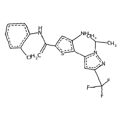 C=C(Nc1ccccc1Cl)c1cc(N)c(-c2cc(C(F)(F)F)nn2C(C)C)s1